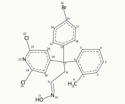 Cc1ccccc1C(C/C=N/O)(c1ccc(Br)cc1)c1cc(Cl)nc(Cl)c1